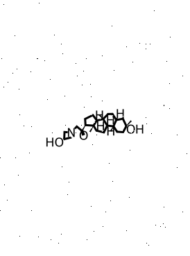 C[C@@]1(O)CC[C@H]2[C@H](CC[C@@H]3[C@@H]2CC[C@]2(C)[C@@H](C(=O)CN4CC(O)C4)CC[C@@H]32)C1